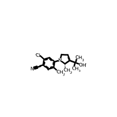 Cc1cc(C#N)c(Cl)cc1N1CCC(C(C)(C)O)[C@@H]1C